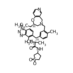 CC[C@@H]1CN(Cc2cc([C@@H](c3ccc4c(nnn4C)c3C)C(C)(C)C(=O)NC3CCS(=O)(=O)C3)ccc2C)Cc2cnccc2O1